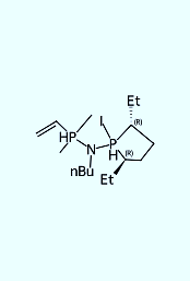 C=C[PH](C)(C)N(CCCC)[PH]1(I)[C@H](CC)CC[C@H]1CC